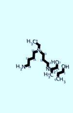 CCCO.CCCO.CCN(CCCN)CCCCN